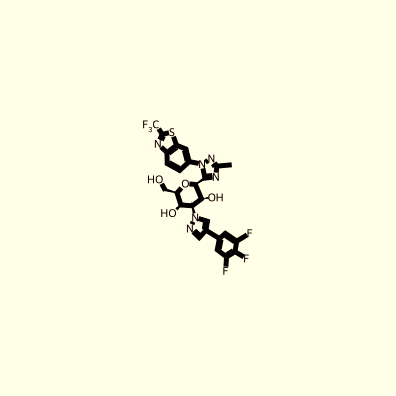 Cc1nc([C@@H]2O[C@H](CO)[C@H](O)[C@H](n3cc(-c4cc(F)c(F)c(F)c4)cn3)[C@H]2O)n(-c2ccc3nc(C(F)(F)F)sc3c2)n1